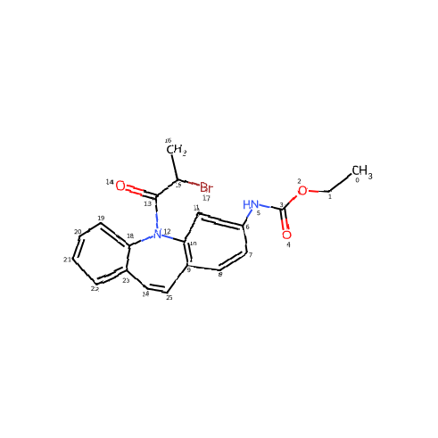 CCOC(=O)Nc1ccc2c(c1)N(C(=O)C(C)Br)c1ccccc1C=C2